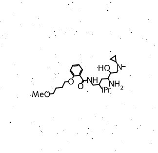 COCCCCOc1ccccc1C(=O)NCC(CC(N)C(O)CN(C)C1CC1)C(C)C